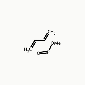 C=CC=C.COP=O